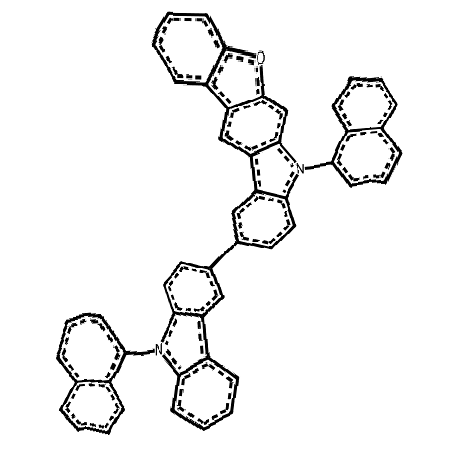 c1ccc2c(-n3c4ccccc4c4cc(-c5ccc6c(c5)c5cc7c(cc5n6-c5cccc6ccccc56)oc5ccccc57)ccc43)cccc2c1